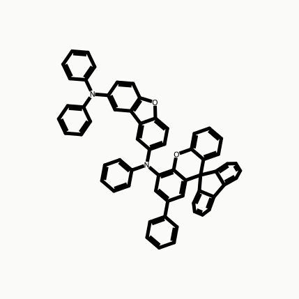 c1ccc(-c2cc(N(c3ccccc3)c3ccc4oc5ccc(N(c6ccccc6)c6ccccc6)cc5c4c3)c3c(c2)C2(c4ccccc4O3)c3ccccc3-c3ccccc32)cc1